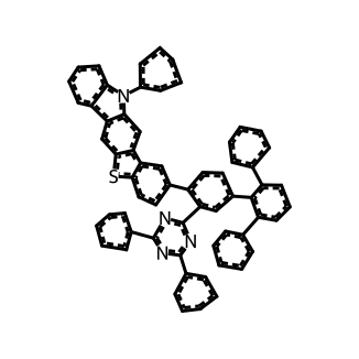 c1ccc(-c2nc(-c3ccccc3)nc(-c3cc(-c4c(-c5ccccc5)cccc4-c4ccccc4)ccc3-c3ccc4sc5cc6c7ccccc7n(-c7ccccc7)c6cc5c4c3)n2)cc1